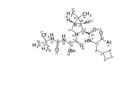 CC(=O)C(=O)C(CC1CCC1)NC(=O)[C@@H]1[C@@H]2[C@H](CN1C(=O)[C@@H](NC(=O)NC(C)(C)C(F)(F)F)C(C)(C)C)C2(C)C